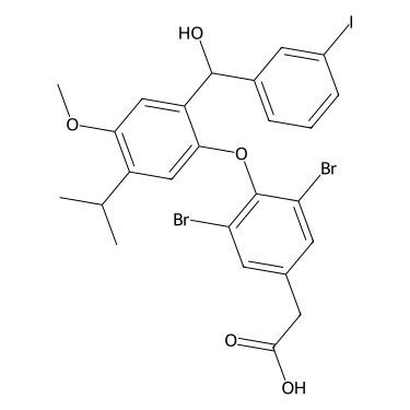 COc1cc(C(O)c2cccc(I)c2)c(Oc2c(Br)cc(CC(=O)O)cc2Br)cc1C(C)C